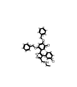 CCNCc1noc(-c2cc(Cl)c(OCc3ccccc3)cc2OCc2ccccc2)c1-c1cccc(Cl)c1